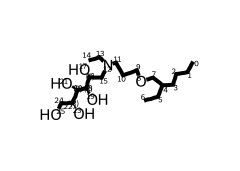 CCCCC(CC)COCCCN(CC)C[C@H](O)[C@@H](O)[C@H](O)[C@H](O)CO